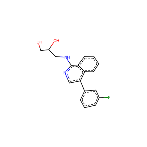 OCC(O)CNc1ncc(-c2cccc(F)c2)c2ccccc12